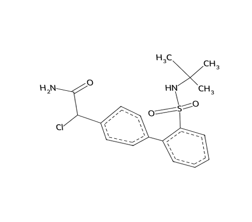 CC(C)(C)NS(=O)(=O)c1ccccc1-c1ccc(C(Cl)C(N)=O)cc1